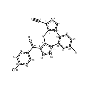 C#Cc1ncn2c1Cc1c(C(=O)c3ccc(Cl)cc3)nnn1-c1cc(C)ccc1-2